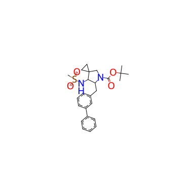 CC(C)(C)OC(=O)N1CC2(CC2)C(NS(C)(=O)=O)C1Cc1cccc(-c2ccccc2)c1